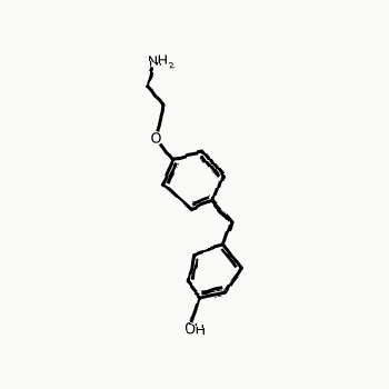 NCCOc1ccc(Cc2ccc(O)cc2)cc1